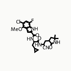 COc1c(Cl)cc(F)c2[nH]c(C(=O)NC(CC3CC3)C(=O)NC(C#N)CC3CC(C)(C)NC3=O)cc12